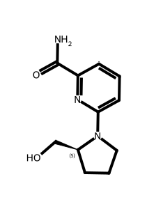 NC(=O)c1[c]ccc(N2CCC[C@H]2CO)n1